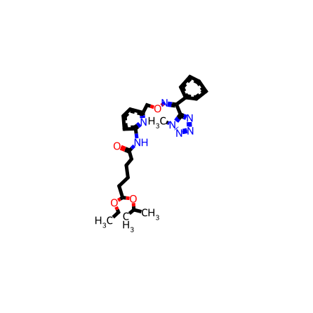 CCOC(CCCCC(=O)Nc1cccc(CO/N=C(/c2ccccc2)c2nnnn2C)n1)OC(C)C